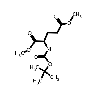 COC(=O)CCC(NC(=O)OC(C)(C)C)C(=O)OC